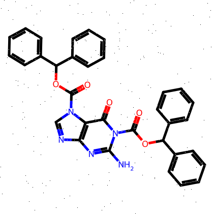 Nc1nc2ncn(C(=O)OC(c3ccccc3)c3ccccc3)c2c(=O)n1C(=O)OC(c1ccccc1)c1ccccc1